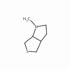 CN1CCC2CSCC21